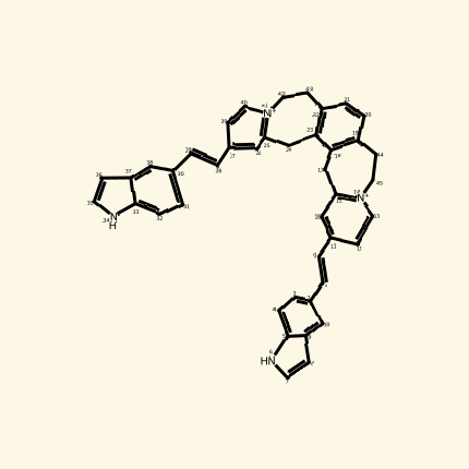 C(=C\c1ccc2[nH]ccc2c1)/c1cc[n+]2c(c1)Cc1c(ccc3c1Cc1cc(/C=C/c4ccc5[nH]ccc5c4)cc[n+]1CC3)CC2